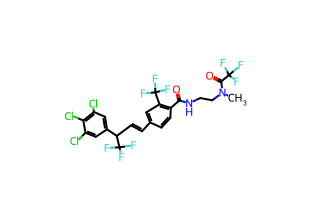 CN(CCNC(=O)c1ccc(/C=C/C(c2cc(Cl)c(Cl)c(Cl)c2)C(F)(F)F)cc1C(F)(F)F)C(=O)C(F)(F)F